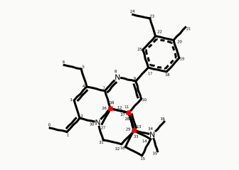 C\C=C(/C=C(CC)\C(=N\C(=C/C(C)=C1CCC1)c1ccc(C)c(CC)c1)C(C)CC)N1CCC(N(C)C)CC1